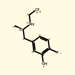 C[C@H](Cc1ccc(F)c(O)c1)NCC(F)(F)F